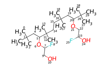 CC(C)(C)CC(OC(F)CO)C(C)(C)CCC(C)(C)CC(OCC(O)F)C(C)(C)C